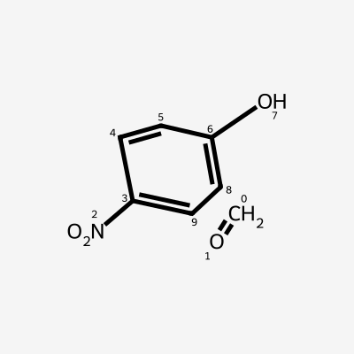 C=O.O=[N+]([O-])c1ccc(O)cc1